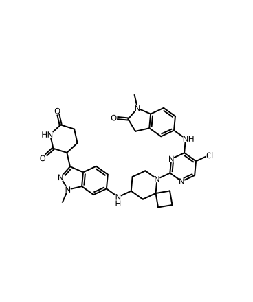 CN1C(=O)Cc2cc(Nc3nc(N4CCC(Nc5ccc6c(C7CCC(=O)NC7=O)nn(C)c6c5)CC45CCC5)ncc3Cl)ccc21